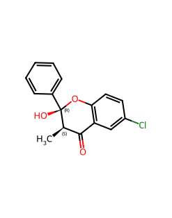 C[C@@H]1C(=O)c2cc(Cl)ccc2O[C@@]1(O)c1ccccc1